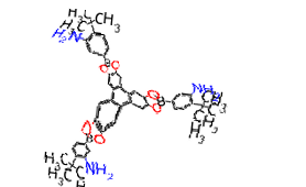 CC(C)(C)c1ccc(B2Oc3cc4c5cc6c(cc5c5cc7c(cc5c4cc3O2)OB(c2ccc(C(C)(C)C)c(N)c2)O7)OB(c2ccc(C(C)(C)C)c(N)c2)O6)cc1N